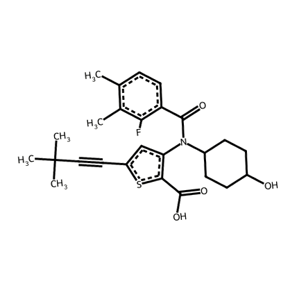 Cc1ccc(C(=O)N(c2cc(C#CC(C)(C)C)sc2C(=O)O)C2CCC(O)CC2)c(F)c1C